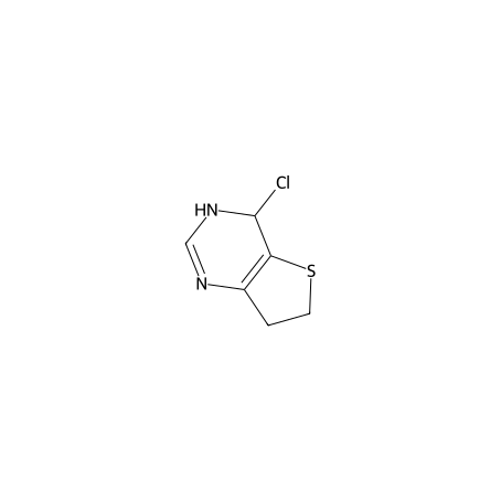 ClC1NC=NC2=C1SCC2